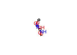 CC(C)(C)OC(=O)NC1CCC(O)(CN2CCN(C(=O)OCc3ccccc3)CC2)CC1